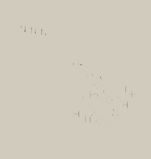 C=C1C(=O)[C@@]23[C@@H]4OC(C)(C)O[C@]25OC[C@]2(C6=C(CC[C@H](OCCCCN=[N+]=[N-])O6)CC(C)(C)[C@H]2[C@@H]5O)[C@@H]3CC[C@@H]14